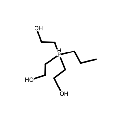 CCC[PH](CCO)(CCO)CCO